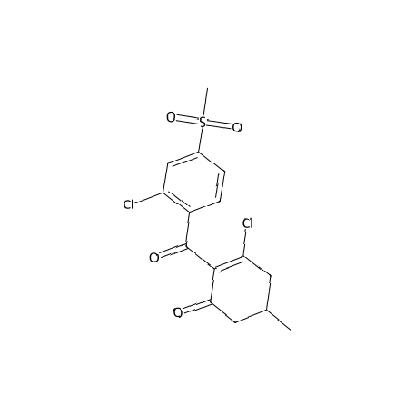 CC1CC(=O)C(C(=O)c2ccc(S(C)(=O)=O)cc2Cl)=C(Cl)C1